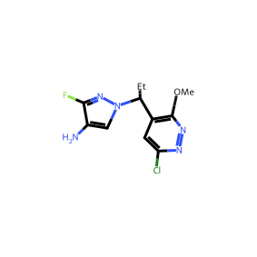 CCC(c1cc(Cl)nnc1OC)n1cc(N)c(F)n1